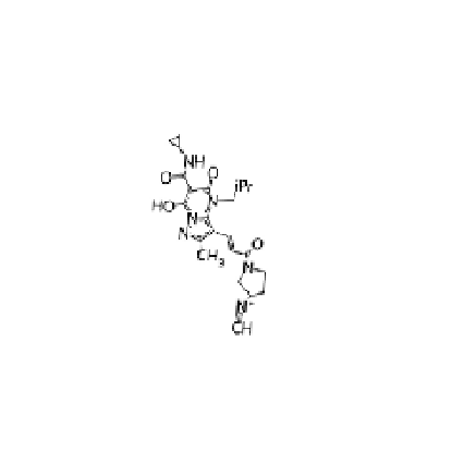 C#[N+][C@H]1CCN(C(=O)/C=C/c2c(C)nn3c(O)c(C(=O)NC4CC4)c(=O)n(CC(C)C)c23)C1